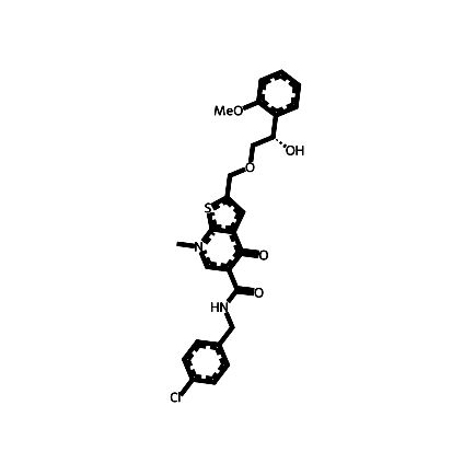 COc1ccccc1[C@H](O)COCc1cc2c(=O)c(C(=O)NCc3ccc(Cl)cc3)cn(C)c2s1